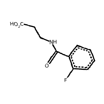 O=C(O)CCNC(=O)c1ccc[c]c1F